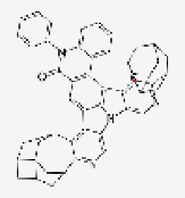 O=c1c2cc3c4c5c(ncc4n4c6cnc7c(c6c(c2c2ccccc2n1-c1ccccc1)c34)C1CC2CC(CC7C2)C1)C1CC2CC3CC5CC23C1